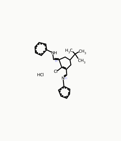 CC(C)(C)C1CC(/C=N/c2ccccc2)=C(Cl)C(=C/Nc2ccccc2)/C1.Cl